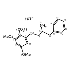 COc1cc(OC)c(C(=O)O)c(OCC(N)Cc2ccccc2)c1.Cl